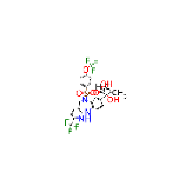 CC(C)C(O)(C(=O)O)c1ccc2c(c1)N(S(=O)(=O)c1ccc(OC(F)(F)F)cc1)Cc1ccc(C(F)(F)F)nc1N2